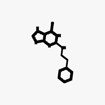 O=c1[nH]c(NCCc2ccccc2)nc2nc[nH]c12